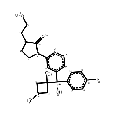 COCCC1CCN(c2cc([C@@](O)(c3ccc(C(C)C)cc3)C3(C)CN(C)C3)cnn2)C1=O